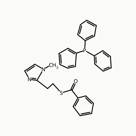 Cn1ccnc1CCSC(=O)c1ccccc1.c1ccc(P(c2ccccc2)c2ccccc2)cc1